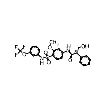 COc1cc(NC(=O)[C@@H](CO)c2ccccc2)ccc1S(=O)(=O)Nc1cccc(OC(F)(F)F)c1